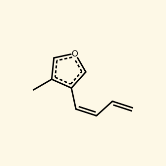 C=C/C=C\c1cocc1C